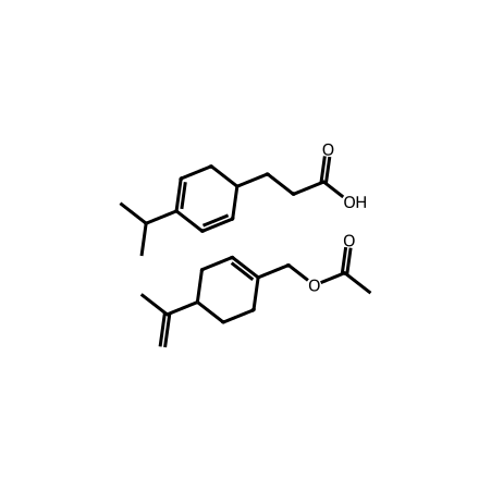 C=C(C)C1CC=C(COC(C)=O)CC1.CC(C)C1=CCC(CCC(=O)O)C=C1